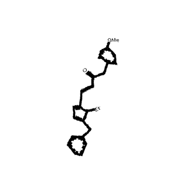 CCC1C(CCC(=O)Cc2ccc(OC)cc2)=CC=C1Cc1ccccc1